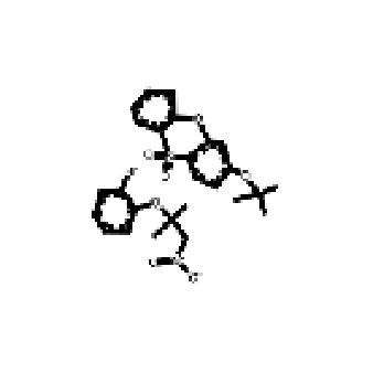 CC(C)(C)Oc1ccc2c(c1)Oc1ccccc1S2(=O)=O.CC(C)(C[N+](=O)[O-])Oc1ccccc1Br